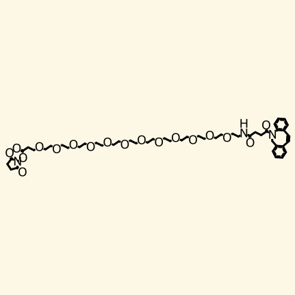 O=C(CCC(=O)N1Cc2ccccc2C#Cc2ccccc21)NCCOCCOCCOCCOCCOCCOCCOCCOCCOCCOCCOCCOCCC(=O)ON1C(=O)CCC1=O